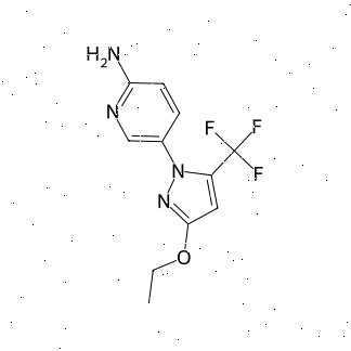 CCOc1cc(C(F)(F)F)n(-c2ccc(N)nc2)n1